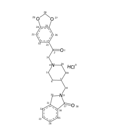 Cl.O=C(CN1CCC(CN2Cc3ccccc3C2=O)CC1)c1ccc2c(c1)OCO2